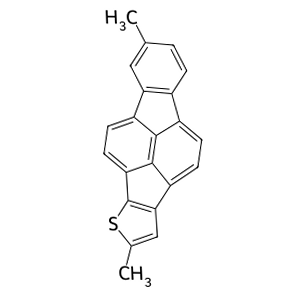 Cc1ccc2c(c1)-c1ccc3c4c(ccc-2c14)-c1cc(C)sc1-3